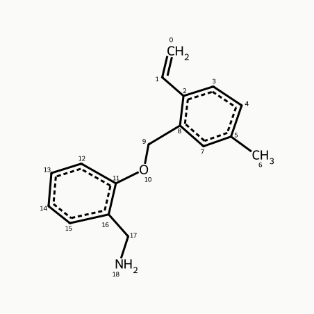 C=Cc1ccc(C)cc1COc1ccccc1CN